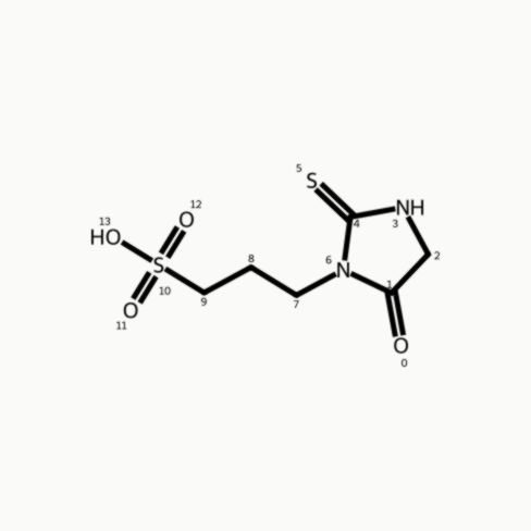 O=C1CNC(=S)N1CCCS(=O)(=O)O